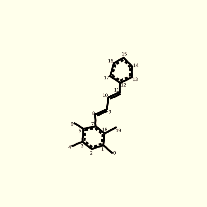 Cc1cc(C)c(C)c(/C=C/C=C/c2ccccc2)c1C